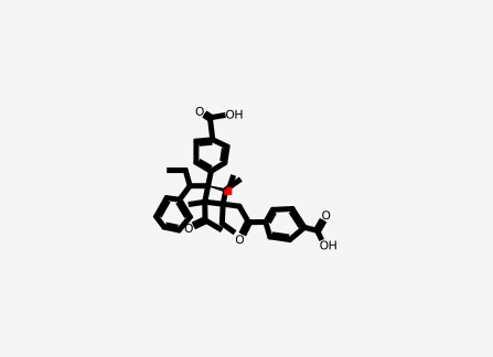 CCC(c1ccccc1)[C@](CC)(c1ccc(C(=O)O)cc1)C(C)(C(C)=O)C(CC)(CC)CC(=O)c1ccc(C(=O)O)cc1